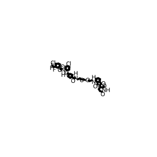 O=C1CCC(N2C(=O)c3cccc(NCCOCCOCCNC(=O)c4ccc(Oc5ccc(Cl)cc5NS(=O)(=O)c5ccc(Cl)c(C(F)(F)F)c5)cc4)c3C2=O)C(=O)N1